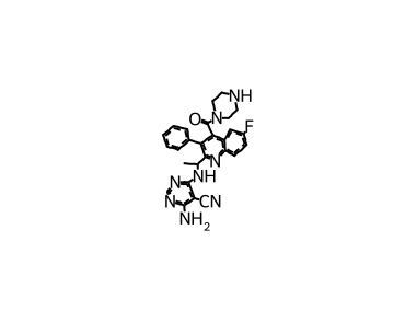 CC(Nc1ncnc(N)c1C#N)c1nc2ccc(F)cc2c(C(=O)N2CCNCC2)c1-c1ccccc1